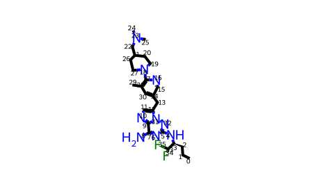 CCC[C@H](Nc1nc(N)c2ncc(Cc3cnc(N4CCC(CN(C)C)CC4)c(C)c3)n2n1)C(F)F